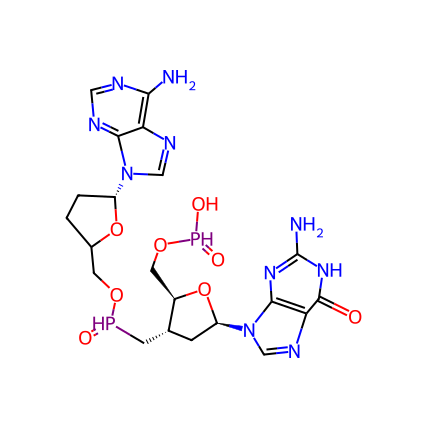 Nc1nc2c(ncn2[C@H]2C[C@H](C[PH](=O)OCC3CC[C@H](n4cnc5c(N)ncnc54)O3)[C@@H](CO[PH](=O)O)O2)c(=O)[nH]1